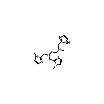 CN(CCN(Cc1nccn1C)Cc1nccn1C)Cc1ncc[nH]1